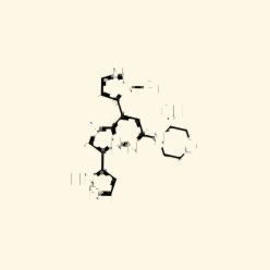 CC(C)n1nccc1-c1cc(N2CCOC[C@H]2C)nn2c(-c3ccn[nH]3)cnc12